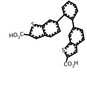 O=C(O)c1cc2ccc(-c3ccccc3-c3ccc4cc(C(=O)O)sc4c3)cc2s1